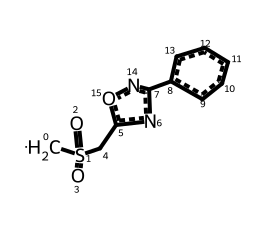 [CH2]S(=O)(=O)Cc1nc(-c2ccccc2)no1